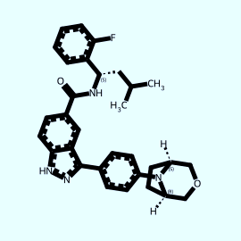 CC(C)C[C@H](NC(=O)c1ccc2[nH]nc(-c3ccc(N4[C@@H]5CC[C@H]4COC5)cc3)c2c1)c1ccccc1F